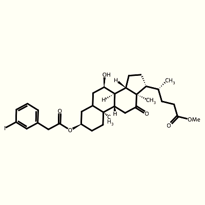 COC(=O)CC[C@@H](C)[C@H]1CC[C@H]2[C@@H]3[C@H](O)CC4C[C@H](OC(=O)Cc5cccc(I)c5)CC[C@]4(C)[C@H]3CC(=O)[C@]12C